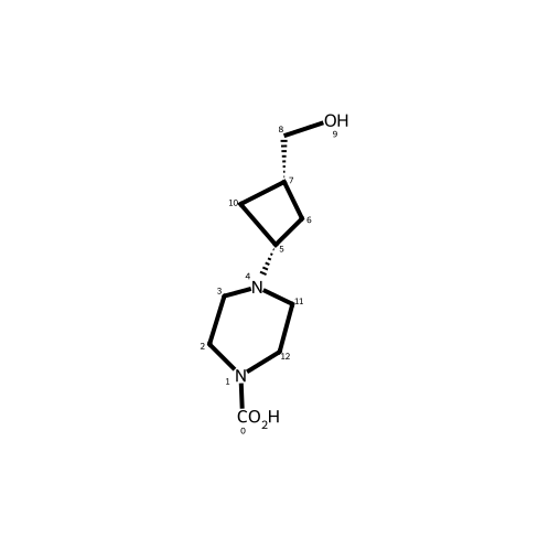 O=C(O)N1CCN([C@H]2C[C@@H](CO)C2)CC1